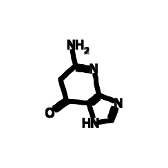 NC1=Nc2nc[nH]c2C(=O)C1